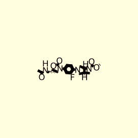 COC(=O)N1C[C@@H]2CN(c3ccc(N4C[C@H](CNC(C)=O)OC4=O)cc3F)C[C@@H]21